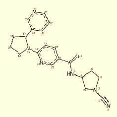 N#CN1CCC(NC(=O)c2ccc(N3CCCC3c3cccnc3)nc2)C1